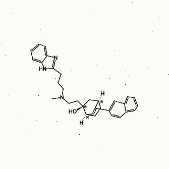 CN(CCCc1nc2ccccc2[nH]1)CC[C@]1(O)C[C@H]2CC[C@@H]1C=C2c1ccc2ccccc2c1